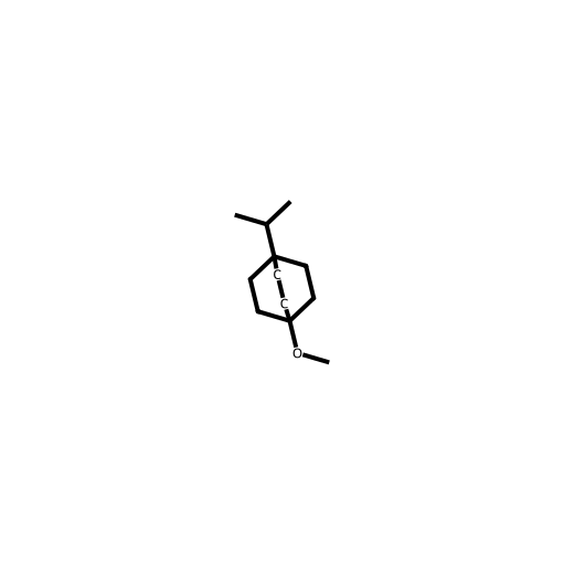 COC12CCC(C(C)C)(CC1)CC2